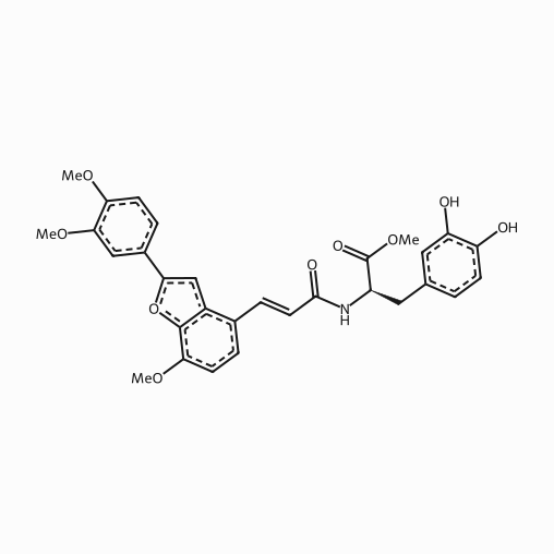 COC(=O)[C@@H](Cc1ccc(O)c(O)c1)NC(=O)/C=C/c1ccc(OC)c2oc(-c3ccc(OC)c(OC)c3)cc12